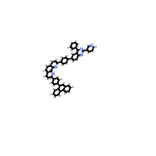 c1ccc(-c2nc(-c3cccnc3)nc3ccc(-c4ccc(-c5ccc6ccc7ccc(-c8ccc(-c9cc%10ccccc%10c%10ccccc9%10)cc8)nc7c6n5)cc4)cc23)cc1